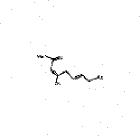 CNC(=O)C=C(C#N)CC=CCC(C)=O